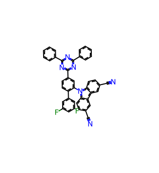 N#Cc1ccc2c(c1)c1cc(C#N)ccc1n2-c1cc(-c2nc(-c3ccccc3)nc(-c3ccccc3)n2)ccc1-c1cc(F)cc(F)c1